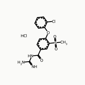 CS(=O)(=O)c1cc(C(=O)NC(=N)N)ccc1Oc1ccccc1Cl.Cl